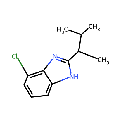 CC(C)C(C)c1nc2c(Cl)cccc2[nH]1